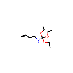 C=CCCN[Si](OCC)(OCC)OCC